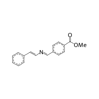 COC(=O)c1ccc(C=NC=Cc2ccccc2)cc1